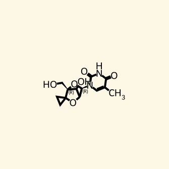 Cc1cn([C@@H]2O[C@]3(CO)C(O)C2OC32CC2)c(=O)[nH]c1=O